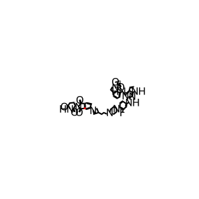 CS(=O)(=O)N1CCc2cccc(Nc3nc(Nc4ccc(N5CCN(CCCC6CN(c7ccc8c(c7)C(=O)N(C7CCC(=O)NC7=O)C8=O)C6)CC5)c(F)c4)nc4[nH]ccc34)c21